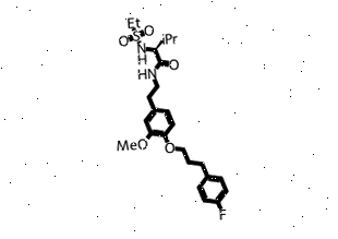 CCS(=O)(=O)N[C@H](C(=O)NCCc1ccc(OCCCc2ccc(F)cc2)c(OC)c1)C(C)C